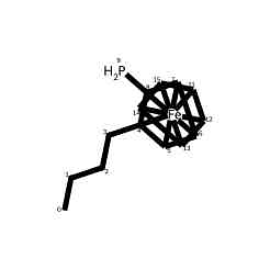 CCCC[C]12[CH]3[CH]4[CH]5[C]1(P)[Fe]45321678[CH]2[CH]1[CH]6[CH]7[CH]28